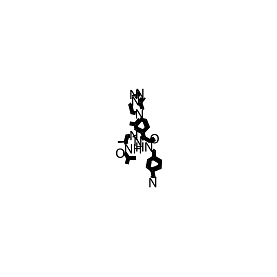 Cc1c(N2CCn3nncc3C2)ccc2c(C(=O)NCc3ccc(C#N)cc3)nn(C[C@H](C)NC(=O)C(C)C)c12